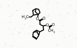 CCC1CC2CCC1(OC(=O)CC(CC1CC3C=CC1C3)OC(C)=O)C2